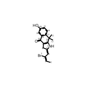 C/C=C(Br)\C=C1/CC2=C(N1)C(C)(C)c1ccc(O)cc1C2=O